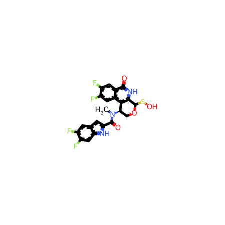 CN(C(=O)c1cc2cc(F)c(F)cc2[nH]1)[C@@H]1COC(SO)c2[nH]c(=O)c3cc(F)c(F)cc3c21